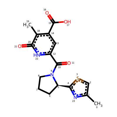 Cc1csc([C@H]2CCCN2C(=O)c2cc(C(=O)O)c(C)c(=O)[nH]2)n1